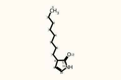 CCCCCCCCC1C=CNC1=O